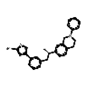 CC(C)c1cc(-c2cccc(C[C@@H](C)c3ccc4c(c3)CN(c3ccccc3)CC4)c2)cs1